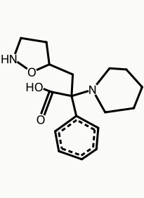 O=C(O)C(CC1CCNO1)(c1ccccc1)N1CCCCC1